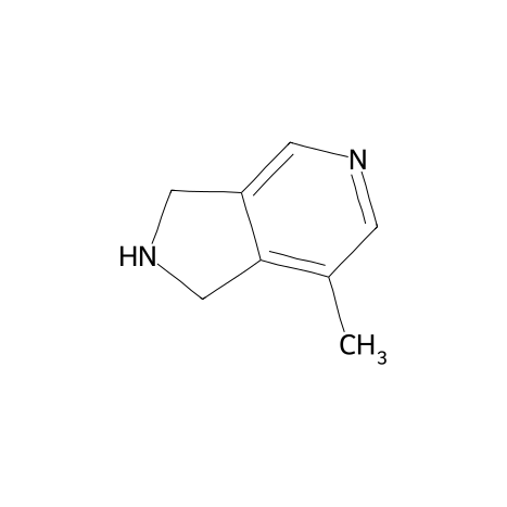 Cc1cncc2c1CNC2